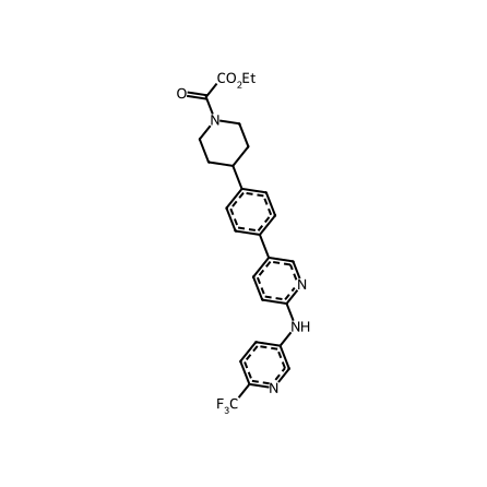 CCOC(=O)C(=O)N1CCC(c2ccc(-c3ccc(Nc4ccc(C(F)(F)F)nc4)nc3)cc2)CC1